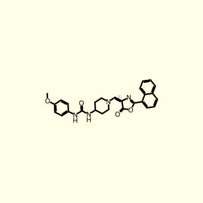 COc1ccc(NC(=O)NC2CCN(/C=C3/N=C(c4cccc5ccccc45)OC3=O)CC2)cc1